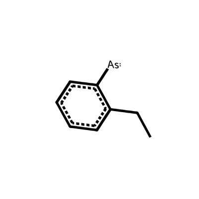 CCc1ccccc1[As]